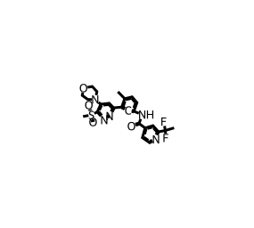 Cc1ccc(NC(=O)c2ccnc(C(C)(F)F)c2)cc1-c1cc(N2CCOCC2)c(S(C)(=O)=O)nn1